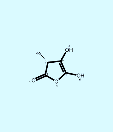 C[C@H]1C(=O)OC(O)=C1O